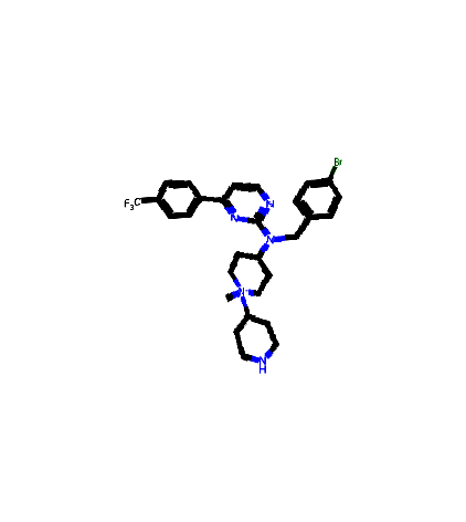 C[N+]1(C2CCNCC2)CCC(N(Cc2ccc(Br)cc2)c2nccc(-c3ccc(C(F)(F)F)cc3)n2)CC1